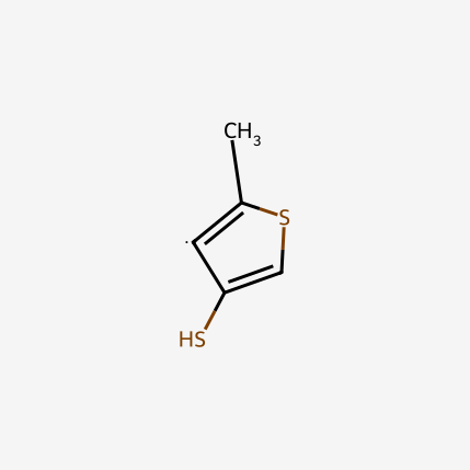 Cc1[c]c(S)cs1